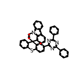 c1ccc(-c2nc(-c3ccccc3)nc(-c3ccc4c(c3)C3(c5ccccc5S4)c4ccccc4-n4c5ccccc5c5cccc3c54)n2)cc1